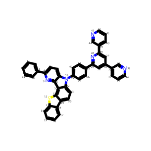 c1ccc(-c2ccc3c(n2)c2c4sc5ccccc5c4ccc2n3-c2ccc(-c3cc(-c4cccnc4)cc(-c4cccnc4)n3)cc2)cc1